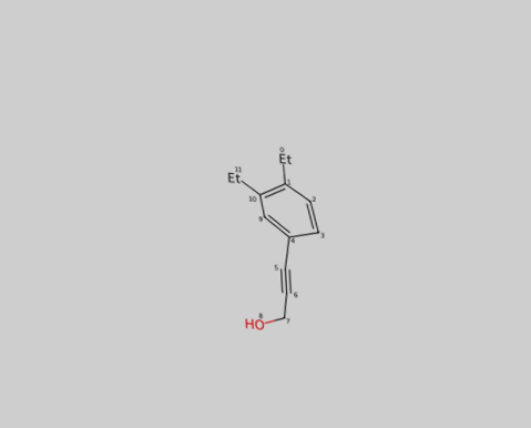 CCc1ccc(C#CCO)cc1CC